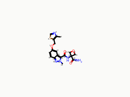 Cc1ncsc1COc1ccc2nn(C)c(C(=O)NC3(C(N)=O)COC3)c2c1